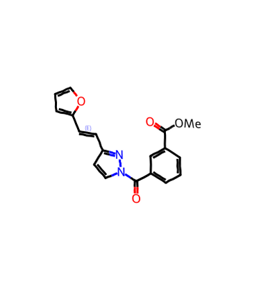 COC(=O)c1cccc(C(=O)n2ccc(/C=C/c3ccco3)n2)c1